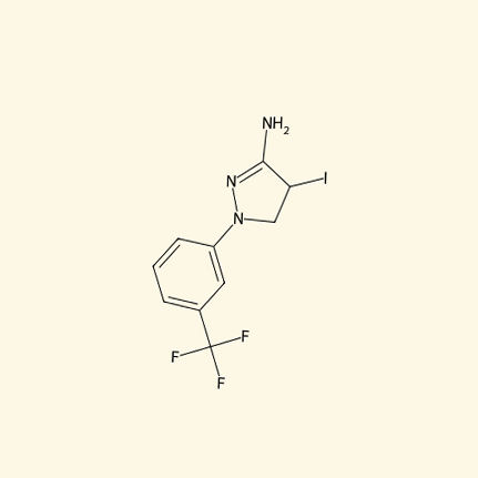 NC1=NN(c2cccc(C(F)(F)F)c2)CC1I